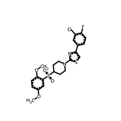 COc1ccc(OC)c(S(=O)(=O)C2CCN(c3nc(-c4ccc(F)c(Cl)c4)cs3)CC2)c1